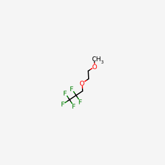 COCCOCC(F)(F)C(F)(F)F